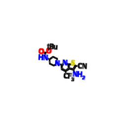 CC(C)(C)OC(=O)NC1CCN(c2cc(C(F)(F)F)c3c(N)c(C#N)sc3n2)CC1